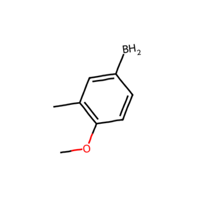 Bc1ccc(OC)c(C)c1